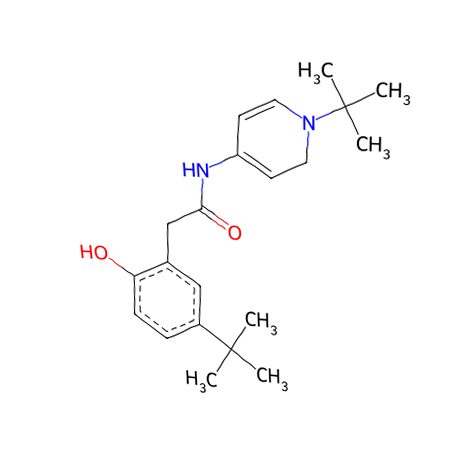 CC(C)(C)c1ccc(O)c(CC(=O)NC2=CCN(C(C)(C)C)C=C2)c1